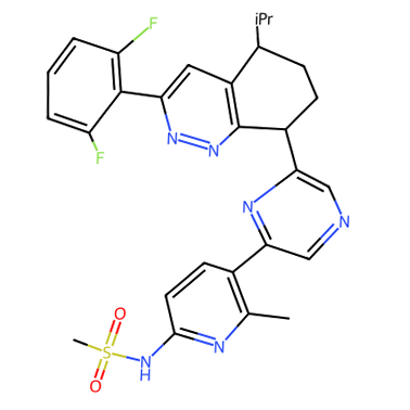 Cc1nc(NS(C)(=O)=O)ccc1-c1cncc(C2CCC(C(C)C)c3cc(-c4c(F)cccc4F)nnc32)n1